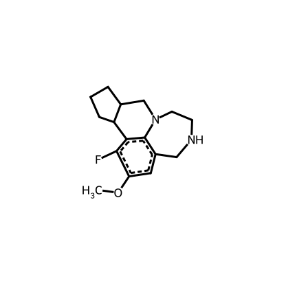 COc1cc2c3c(c1F)C1CCCC1CN3CCNC2